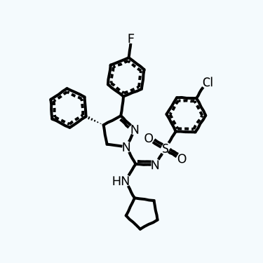 O=S(=O)(/N=C(/NC1CCCC1)N1C[C@H](c2ccccc2)C(c2ccc(F)cc2)=N1)c1ccc(Cl)cc1